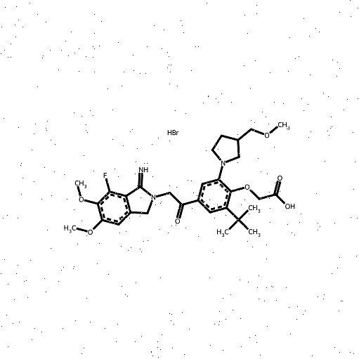 Br.COCC1CCN(c2cc(C(=O)CN3Cc4cc(OC)c(OC)c(F)c4C3=N)cc(C(C)(C)C)c2OCC(=O)O)C1